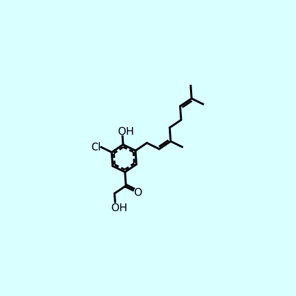 CC(C)=CCCC(C)=CCc1cc(C(=O)CO)cc(Cl)c1O